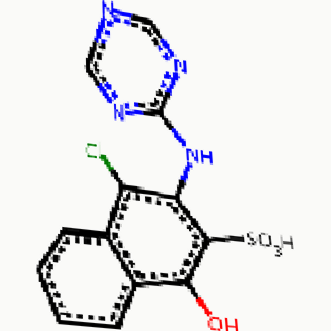 O=S(=O)(O)c1c(Nc2ncncn2)c(Cl)c2ccccc2c1O